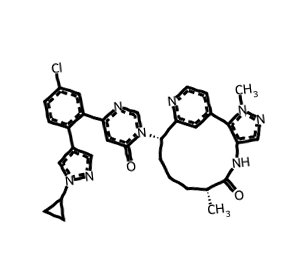 C[C@@H]1CCC[C@H](n2cnc(-c3cc(Cl)ccc3-c3cnn(C4CC4)c3)cc2=O)c2cc(ccn2)-c2c(cnn2C)NC1=O